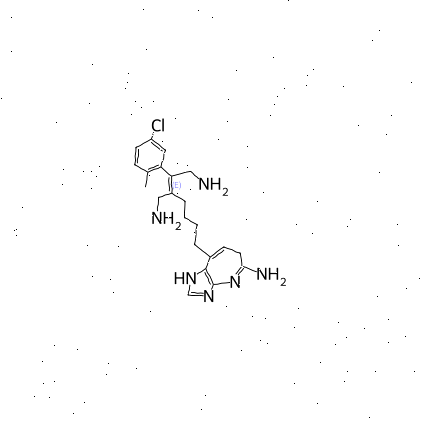 Cc1ccc(Cl)cc1/C(CN)=C(\CN)CCCCC1=CCC(N)=Nc2nc[nH]c21